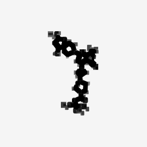 CC1C=C(Cl)C2(CCN(c3cc(N4CC(N5CCN(C(=O)OC(C)(C)C)CC5)C4)c(C#N)c(C(F)(F)F)n3)CC2)O1